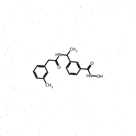 Cc1cccc(CC(=O)NC(C)c2cccc(C(=O)NO)c2)c1